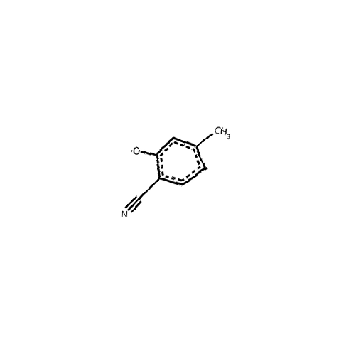 Cc1ccc(C#N)c([O])c1